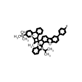 C=C1C2C(c3ccccc3-c3ccc([Si](C)(C)C)c[n+]32)C12c1ccc3c(oc4ccc(-c5ccc(F)cc5)cc43)c1-c1n(C(C)C)c3ccccc3[n+]12